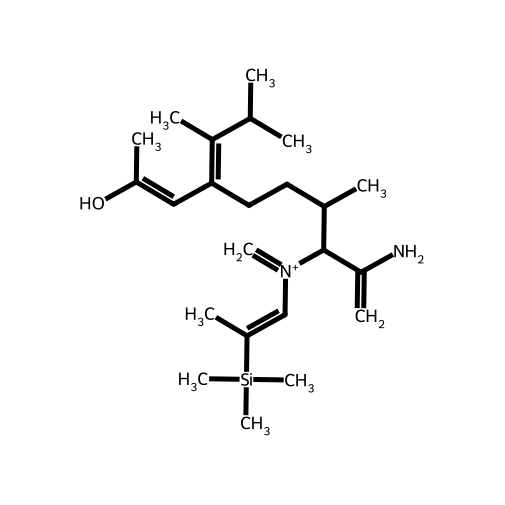 C=C(N)C(C(C)CCC(/C=C(\C)O)=C(C)C(C)C)[N+](=C)/C=C(\C)[Si](C)(C)C